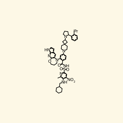 Cc1nc(S(=O)(=O)NC(=O)c2ccc(N3CCC4(CC3)CC(N3CCCC3c3ccccc3C(C)C)C4)cc2N2CCCOc3nc4[nH]ccc4cc32)cc([N+](=O)[O-])c1NCC1CCCCC1